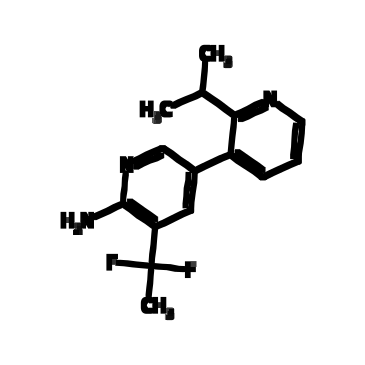 CC(C)c1ncccc1-c1cnc(N)c(C(C)(F)F)c1